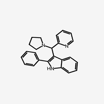 c1ccc(-c2[nH]c3ccccc3c2C(c2ccccn2)N2CCCC2)cc1